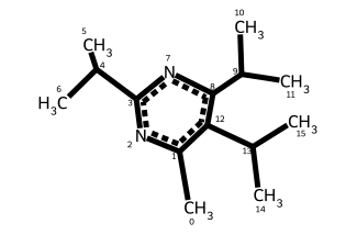 Cc1nc(C(C)C)nc(C(C)C)c1C(C)C